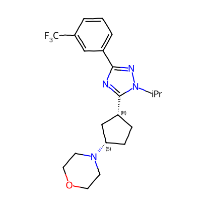 CC(C)n1nc(-c2cccc(C(F)(F)F)c2)nc1[C@@H]1CC[C@H](N2CCOCC2)C1